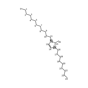 CCCCCCCCCCCCN1C=CN(CCCCCCCCC)C1C